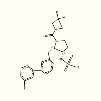 CS(=O)(=O)N[C@H]1CCN(C(=O)N2CC(F)(F)C2)[C@H]1Cc1cccc(-c2cccc(F)c2)c1